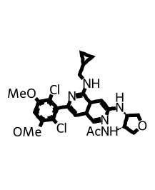 COc1cc(OC)c(Cl)c(C2=CC3C=NC(N[C@@H]4COC[C@@H]4NC(C)=O)=CC3C(NCC3CC3)=N2)c1Cl